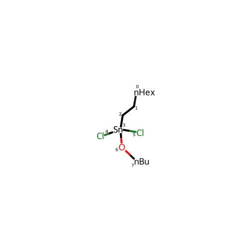 CCCCCCC[CH2][Sn]([Cl])([Cl])[O]CCCC